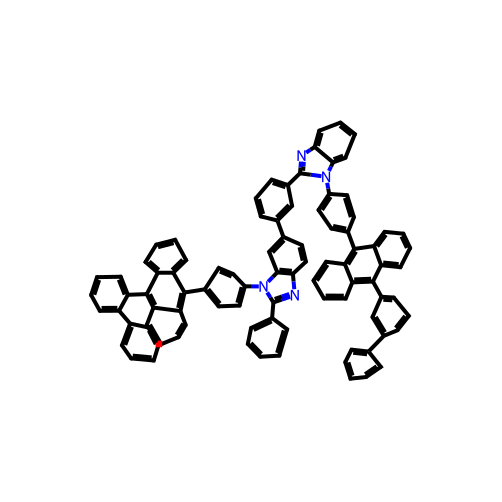 c1ccc(-c2cccc(-c3c4ccccc4c(-c4ccc(-n5c(-c6cccc(-c7ccc8nc(-c9ccccc9)n(-c9ccc(-c%10c%11ccccc%11c(-c%11ccccc%11-c%11ccccc%11)c%11ccccc%10%11)cc9)c8c7)c6)nc6ccccc65)cc4)c4ccccc34)c2)cc1